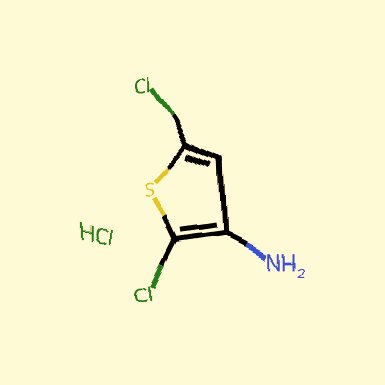 Cl.Nc1cc(Cl)sc1Cl